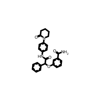 NC(=O)c1cccc(OC(C(=O)Nc2ccc(N3CCCCC3=O)cc2)c2ccccc2)c1